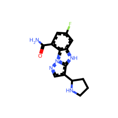 NC(=O)c1cc(F)cc2[nH]c3c(C4CCCN4)cnn3c12